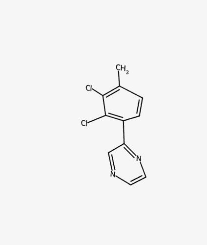 Cc1ccc(-c2cnccn2)c(Cl)c1Cl